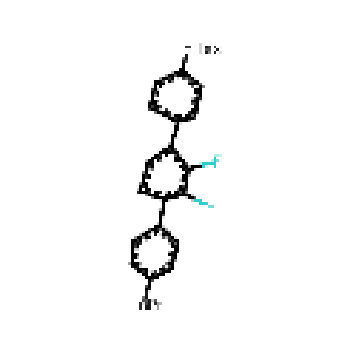 CCCCCCc1ccc(-c2ccc(-c3ccc(CCC)cc3)c(F)c2F)cc1